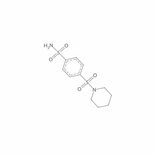 NS(=O)(=O)c1ccc(S(=O)(=O)N2CCCCC2)cc1